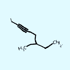 [CH2]CC(C)CC#CI